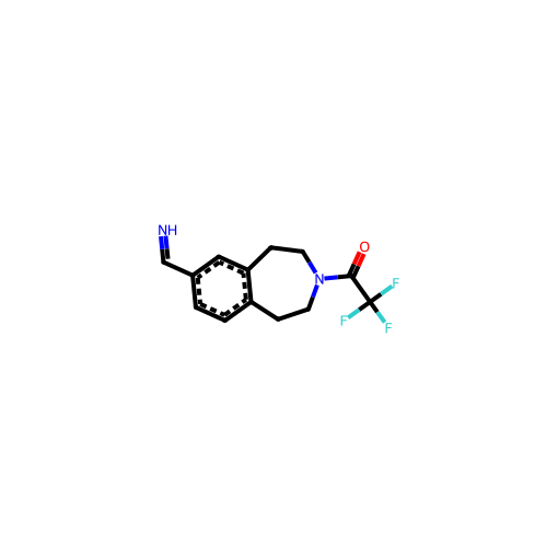 N=Cc1ccc2c(c1)CCN(C(=O)C(F)(F)F)CC2